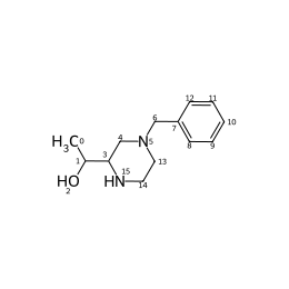 CC(O)C1CN(Cc2ccccc2)CCN1